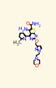 Cc1cccc(-c2nc(OCc3ccn(CCN4CCOCC4)n3)nc3sc(C(N)=O)c(N)c23)n1